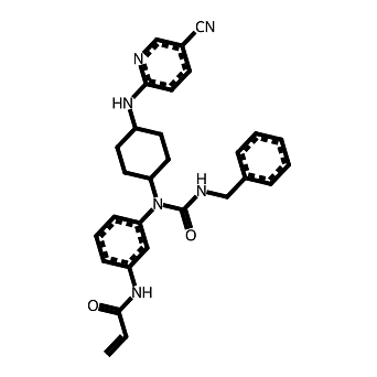 C=CC(=O)Nc1cccc(N(C(=O)NCc2ccccc2)C2CCC(Nc3ccc(C#N)cn3)CC2)c1